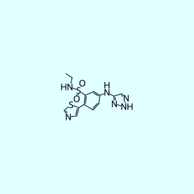 CCNS(=O)(=O)c1cc(Nc2cn[nH]n2)ccc1-c1cncs1